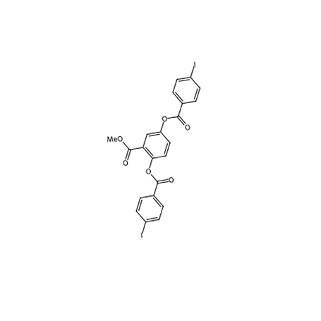 COC(=O)c1cc(OC(=O)c2ccc(I)cc2)ccc1OC(=O)c1ccc(I)cc1